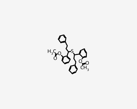 CC(=O)Oc1ccccc1C(CCc1ccccc1)SC(CCc1ccccc1)c1ccccc1OC(C)=O